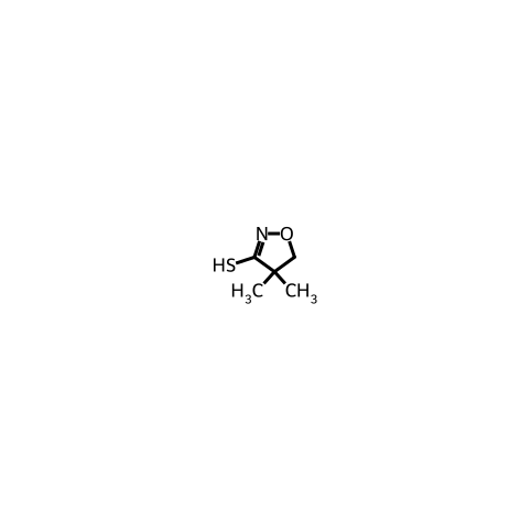 CC1(C)CON=C1S